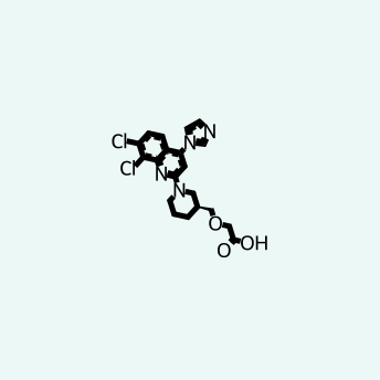 O=C(O)COC[C@H]1CCCN(c2cc(-n3ccnc3)c3ccc(Cl)c(Cl)c3n2)C1